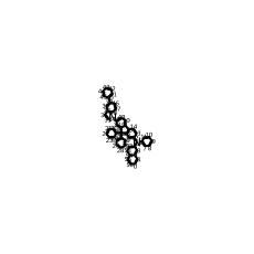 C1=CC2=CC(N(c3ccccc3)c3ccc4c(c3)C(c3ccccc3)(c3ccccc3)c3cc(-n5ccc6cc(-c7ccccc7)ccc65)ccc3-4)=CCC2C=C1